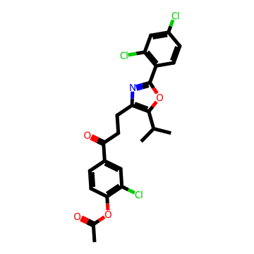 CC(=O)Oc1ccc(C(=O)CCc2nc(-c3ccc(Cl)cc3Cl)oc2C(C)C)cc1Cl